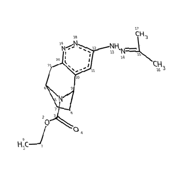 CCOC(=O)N1C2CCC1c1cc(NN=C(C)C)nnc1C2